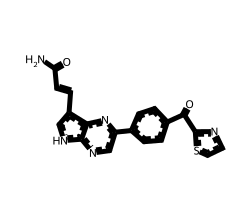 NC(=O)C=Cc1c[nH]c2ncc(-c3ccc(C(=O)c4nccs4)cc3)nc12